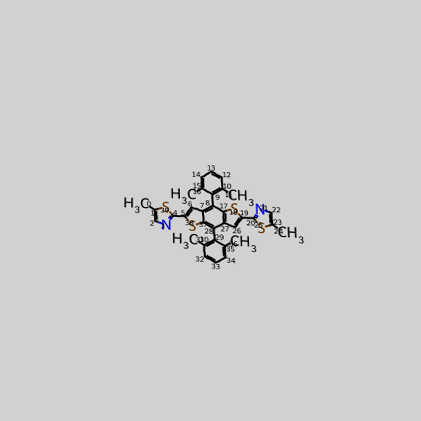 Cc1cnc(-c2cc3c(-c4c(C)cccc4C)c4sc(-c5ncc(C)s5)cc4c(-c4c(C)cccc4C)c3s2)s1